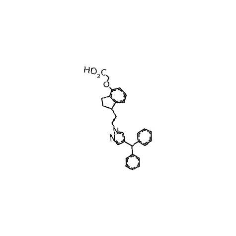 O=C(O)COc1cccc2c1CCC2CCn1cc(C(c2ccccc2)c2ccccc2)cn1